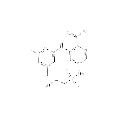 Cc1cc(C)nc(Nc2cc(NS(=O)(=O)CCN)cnc2C(N)=O)c1